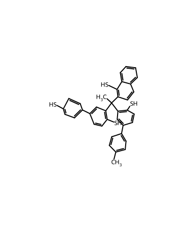 Cc1ccc(-c2ccc(S)c(C(C)(c3cc(-c4ccc(S)cc4)ccc3S)c3ccc4ccccc4c3S)c2)cc1